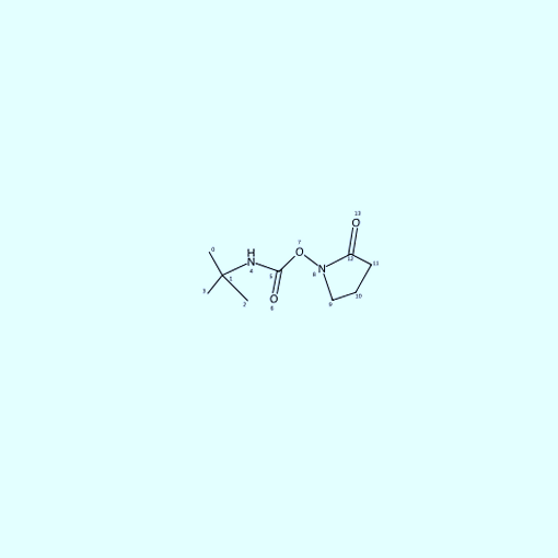 CC(C)(C)NC(=O)ON1CCCC1=O